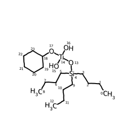 CCCC[Si](CCCC)(CCCC)[O][Ti]([OH])([OH])[O]C1CCCCC1